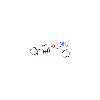 N[C@H](COc1ccc(-c2ccccn2)nn1)c1ccccc1